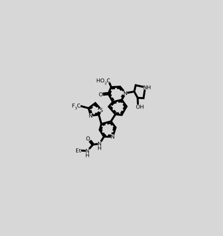 CCNC(=O)Nc1cc(-c2nc(C(F)(F)F)cs2)c(-c2ccc3c(c2)c(=O)c(C(=O)O)cn3C2CNCC2O)cn1